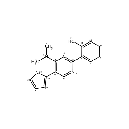 CN(C)c1nc(-c2ccccc2O)ncc1-c1ccc[nH]1